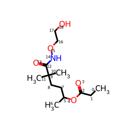 CCC(=O)OC(C)CCC(C)(C)C(=O)NOCCO